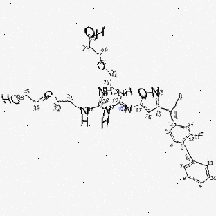 CC(c1ccc(-c2ccccc2)c(F)c1)c1cc(/N=C(\NCCOCCO)NC(=N)NCCOCCO)on1